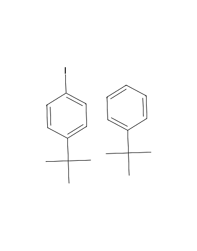 CC(C)(C)c1ccc(I)cc1.CC(C)(C)c1ccccc1